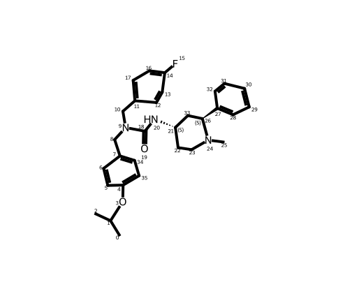 CC(C)Oc1ccc(CN(Cc2ccc(F)cc2)C(=O)N[C@H]2CCN(C)[C@H](c3ccccc3)C2)cc1